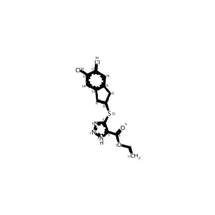 CCOC(=O)c1[nH]nnc1SC1Cc2cc(Cl)c(Cl)cc2C1